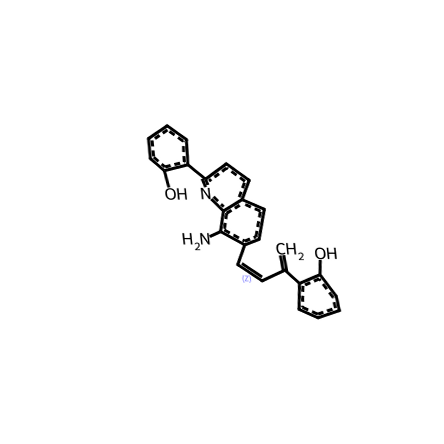 C=C(/C=C\c1ccc2ccc(-c3ccccc3O)nc2c1N)c1ccccc1O